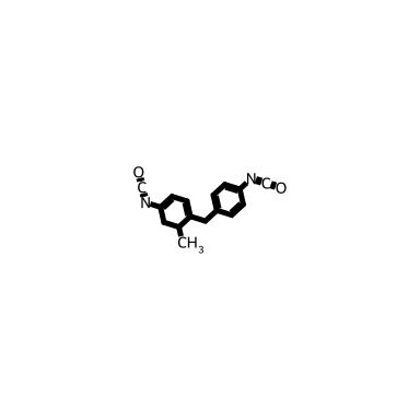 CC1CC(N=C=O)=CC=C1Cc1ccc(N=C=O)cc1